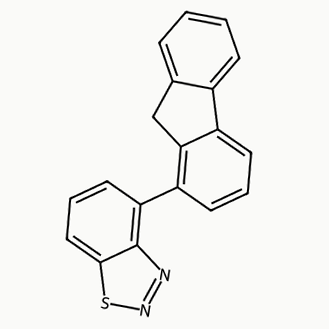 c1ccc2c(c1)Cc1c-2cccc1-c1cccc2snnc12